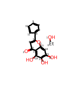 CCO.O=c1cc(-c2ccccc2)oc2cc(O)c(O)c(O)c12